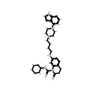 O=C1CCc2ccc(OCCCCN3CCN(c4cccc5sccc45)CC3)cc2N1C(=O)OC1CCCCC1